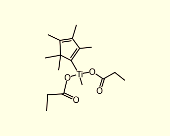 CCC(=O)[O][Ti]([CH3])([O]C(=O)CC)[C]1=C(C)C(C)=C(C)C1(C)C